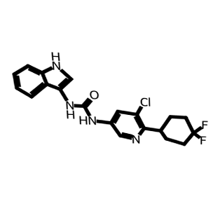 O=C(Nc1cnc(C2CCC(F)(F)CC2)c(Cl)c1)Nc1c[nH]c2ccccc12